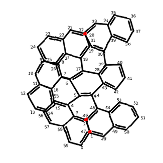 c1ccc2c(-c3c(-c4cccc5ccccc45)c(-c4cccc5ccccc45)c4c(-c5cccc6ccccc56)cccc4c3-c3cccc4ccccc34)cccc2c1